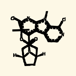 Cn1c2nc(Cl)nc(N3C[C@H]4CC[C@@H](C3)N4C(=O)OC(C)(C)C)c2c2ccnc(Cl)c21